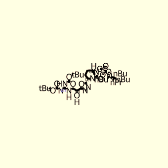 CCCCN(OS(=O)(=O)ON1C(=O)N2C[C@@H]1CC[C@H]2c1nnc([C@@H](O)CN/C(=N/C(=O)OC(C)(C)C)NC(=O)OC(C)(C)C)o1)C(CCC)(CCCC)CCCC